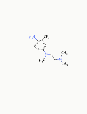 CN(C)CCN(C)c1ccc(N)c(C(F)(F)F)c1